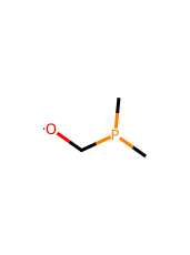 CP(C)C[O]